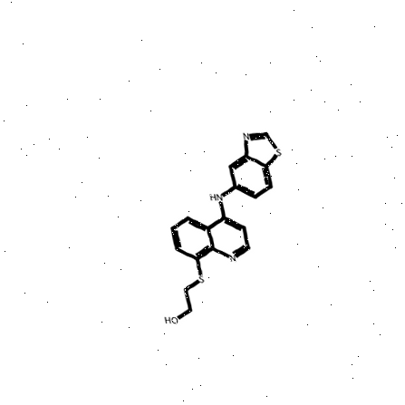 OCCSc1cccc2c(Nc3ccc4scnc4c3)ccnc12